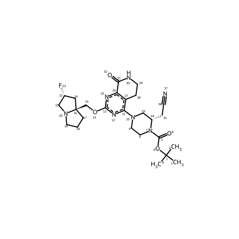 CC(C)(C)OC(=O)N1CCN(c2nc(OC[C@@]34CCCN3C[C@H](F)C4)nc3c2CCNC3=O)C[C@@H]1CC#N